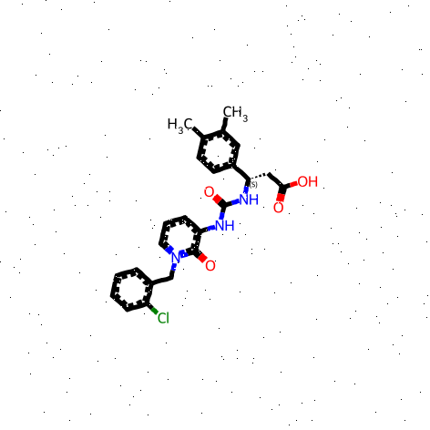 Cc1ccc([C@H](CC(=O)O)NC(=O)Nc2cccn(Cc3ccccc3Cl)c2=O)cc1C